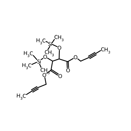 CC#CCOC(=O)C(O[Si](C)(C)C)C(O[Si](C)(C)C)C(=O)OCC#CC